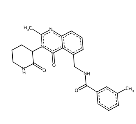 Cc1cccc(C(=O)NCc2cccc3nc(C)n(C4CCCNC4=O)c(=O)c23)c1